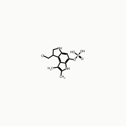 Cc1[nH]c2c(OP(=O)(O)O)cc3c(c2c1C)C(CCl)CN3